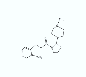 CN1CCC(C2CCCN2C(=O)CCC2=CC=CCN2C)CC1